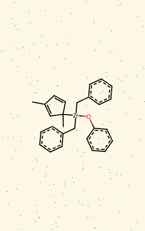 CC1=C[C](C)([Zr]([CH2]c2ccccc2)([CH2]c2ccccc2)[O]c2ccccc2)C=C1